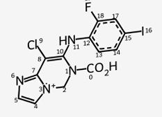 O=C(O)N1C[N+]2C=CN=C2C(Cl)=C1Nc1ccc(I)cc1F